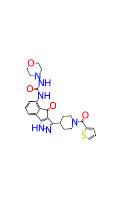 O=C(Nc1cccc2c1C(=O)c1c(C3CCN(C(=O)c4cccs4)CC3)n[nH]c1-2)NN1CCOCC1